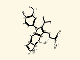 COc1cc(-n2c(C(C)C)c(C[C@@H](F)C(=O)O)c3nc4[nH]ncc4cc32)ccc1F